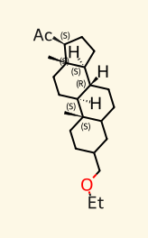 CCOCC1CC[C@@]2(C)C(CC[C@H]3[C@@H]4CC[C@H](C(C)=O)[C@@]4(C)CC[C@@H]32)C1